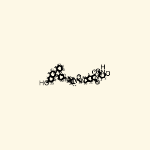 O=C1CC[C@@H](N2C(=O)c3cc4c(cc3C2=O)CN(CC(=O)N2CCC3(C2)CN(c2ccc([C@@H]5c6ccc(O)cc6CC[C@@H]5c5ccccc5)cc2)C3)C4)C(=O)N1